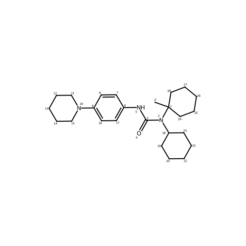 CC1(N(C(=O)Nc2ccc(N3CCCCC3)cc2)C2CCCCC2)CCCCC1